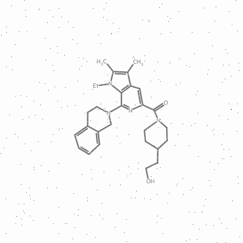 CCn1c(C)c(C)c2cc(C(=O)N3CCC(CCO)CC3)nc(N3CCc4ccccc4C3)c21